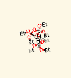 CCOC(C)(OCC)O[Si](OCC)(OCC)OCC.CCO[SiH](OCC)OCC